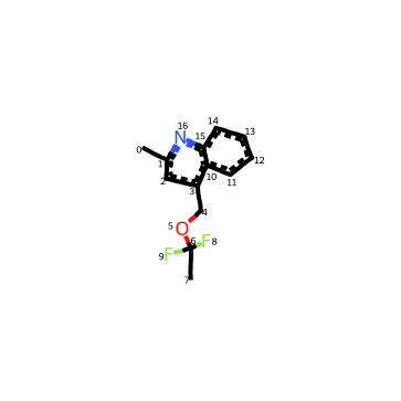 Cc1cc(COC(C)(F)F)c2ccccc2n1